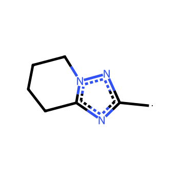 [CH2]c1nc2n(n1)CCCC2